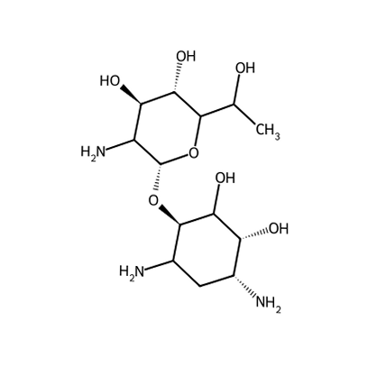 CC(O)C1O[C@H](O[C@@H]2C(N)C[C@@H](N)[C@@H](O)C2O)C(N)[C@@H](O)[C@@H]1O